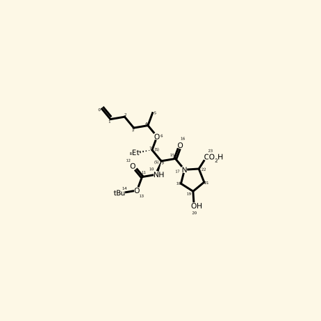 C=CCCC(C)O[C@@H](CC)[C@H](NC(=O)OC(C)(C)C)C(=O)N1CC(O)CC1C(=O)O